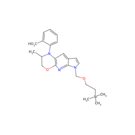 CC1COc2nc3c(ccn3COCC[Si](C)(C)C)cc2N1c1ccccc1C(=O)O